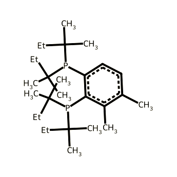 CCC(C)(C)P(c1ccc(C)c(C)c1P(C(C)(C)CC)C(C)(C)CC)C(C)(C)CC